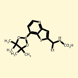 CCC(NC(=O)O)c1cc2nccc(B3OC(C)(C)C(C)(C)O3)c2s1